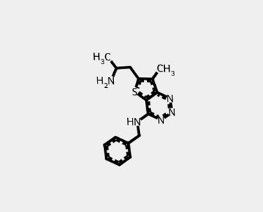 Cc1c(CC(C)N)sc2c(NCc3ccccc3)nnnc12